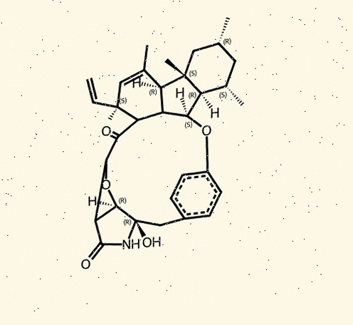 C=C[C@@]1(C)C=C(C)[C@@H]2C3C1C(=O)C1O[C@@H]4C1C(=O)N[C@@]4(O)Cc1ccc(cc1)O[C@@H]3[C@@H]1[C@@H](C)C[C@@H](C)C[C@]12C